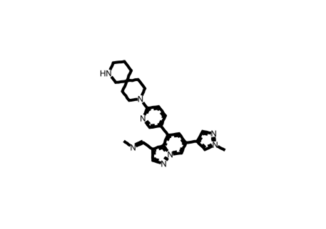 CN=Cc1cnn2cc(-c3cnn(C)c3)cc(-c3ccc(N4CCC5(CCCNC5)CC4)nc3)c12